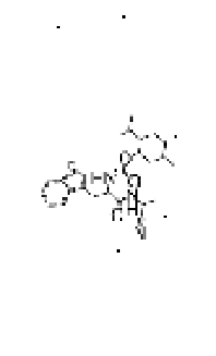 CC1CCC(C(C)C)C(OC(=O)NC(Cc2csc3ccccc23)C(=O)NC(C)C#N)C1